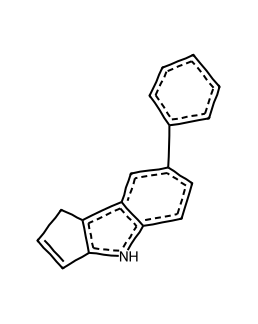 C1=Cc2[nH]c3ccc(-c4ccccc4)cc3c2C1